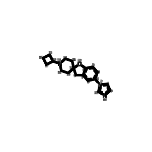 c1cn(-c2ccc3c(c2)CC2(CCN(C4CCC4)CC2)O3)cn1